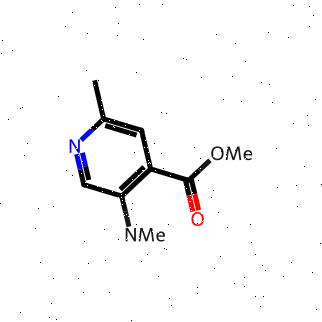 CNc1cnc(C)cc1C(=O)OC